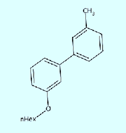 CCCCCCOc1cccc(-c2cccc(C)c2)c1